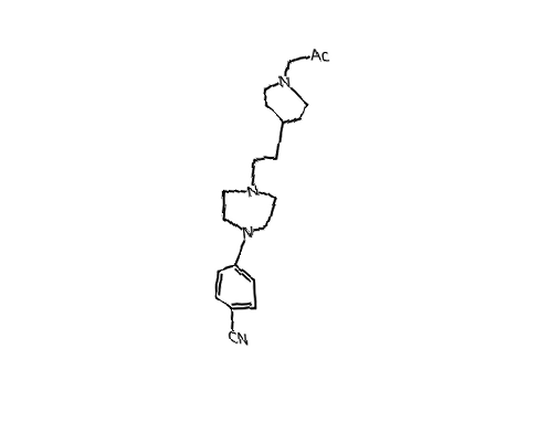 CC(=O)CN1CCC(CCN2CCN(c3ccc(C#N)cc3)CC2)CC1